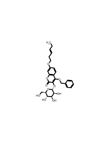 CC/C=C/CCOc1ccc2c(OCc3ccccc3)c(O[C@H]3O[C@H](CO)[C@@H](O)[C@H](O)[C@@H]3O)c(=O)oc2c1